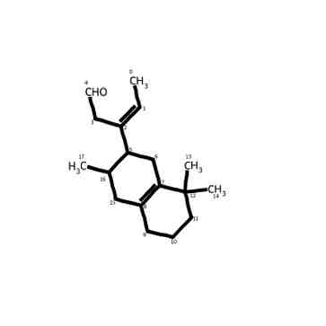 CC=C(CC=O)C1CC2=C(CCCC2(C)C)CC1C